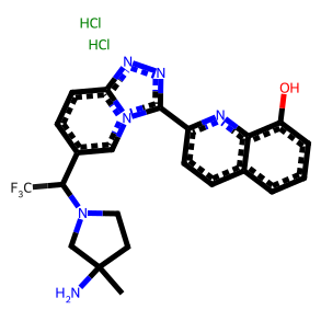 CC1(N)CCN(C(c2ccc3nnc(-c4ccc5cccc(O)c5n4)n3c2)C(F)(F)F)C1.Cl.Cl